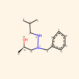 CC(C)CNN(Cc1ccccc1)C[C@@H](C)O